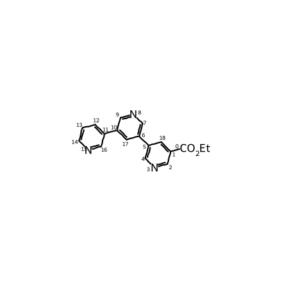 CCOC(=O)c1cncc(-c2cncc(-c3cccnc3)c2)c1